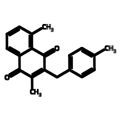 CC1=C(Cc2ccc(C)cc2)C(=O)c2c(C)cccc2C1=O